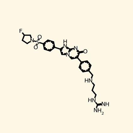 N=C(N)NCCCNCc1ccc(-c2cn3cc(-c4ccc(S(=O)(=O)N5CCC(F)C5)cc4)[nH]c3nc2=O)cc1